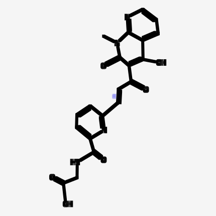 Cn1c(=O)c(C(=O)/C=C/c2cccc(C(=O)NCC(=O)O)n2)c(O)c2cccnc21